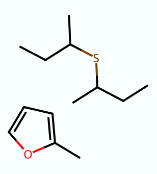 CCC(C)SC(C)CC.Cc1ccco1